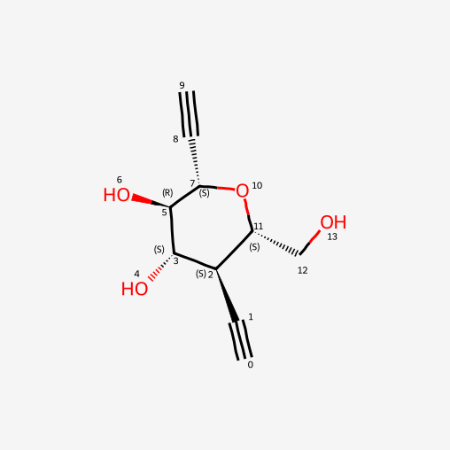 C#C[C@H]1[C@H](O)[C@@H](O)[C@H](C#C)O[C@@H]1CO